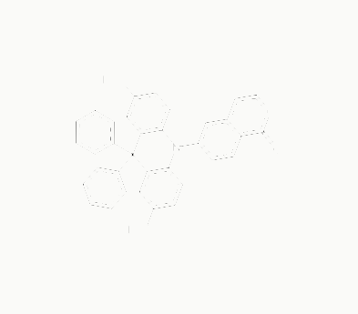 Cc1ccc2c(c1)C(c1ccccc1)(c1ccccc1)c1cc(C)ccc1N2c1ccc2c(=O)occc2c1